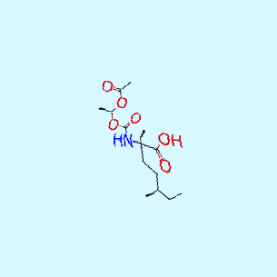 CC[C@@H](C)CC[C@](C)(NC(=O)O[C@@H](C)OC(C)=O)C(=O)O